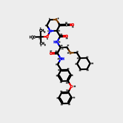 CC(C)(C)ON1CCSC(=C=O)C1C(=O)N[C@@H](CSCC1CCCCC1)C(=O)NCc1ccc(Oc2ccccc2)cc1